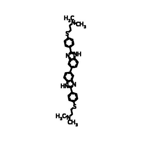 CN(C)CCSc1ccc(-c2nc3cc(-c4ccc5[nH]c(-c6ccc(SCCN(C)C)cc6)nc5c4)ccc3[nH]2)cc1